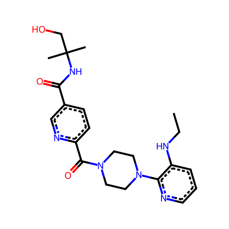 CCNc1cccnc1N1CCN(C(=O)c2ccc(C(=O)NC(C)(C)CO)cn2)CC1